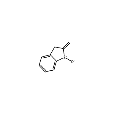 C=C1Cc2ccccc2[S+]1[O-]